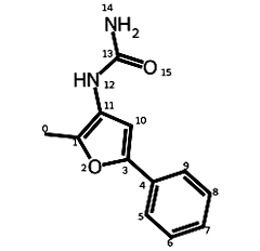 Cc1oc(-c2ccccc2)cc1NC(N)=O